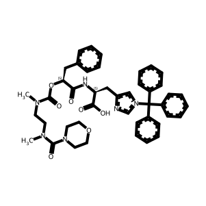 CN(CCN(C)C(=O)N1CCOCC1)C(=O)O[C@@H](Cc1ccccc1)C(=O)N[C@@H](Cc1cn(C(c2ccccc2)(c2ccccc2)c2ccccc2)cn1)C(=O)O